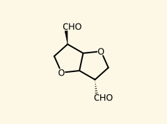 O=C[C@@H]1COC2C1OC[C@@H]2C=O